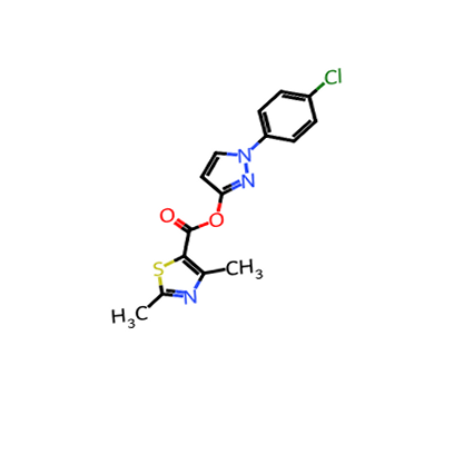 Cc1nc(C)c(C(=O)Oc2ccn(-c3ccc(Cl)cc3)n2)s1